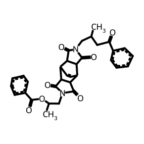 CC(CC(=O)c1ccccc1)CN1C(=O)C2C3C=CC(C2C1=O)C1C(=O)N(CC(C)OC(=O)c2ccccc2)C(=O)C31